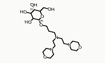 OCC1O[C@@H](OCCCN(CCN2CCOCC2)CCN2CCOCC2)C(O)C(O)[C@@H]1O